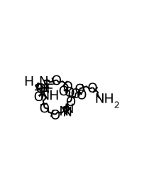 CC(C)(CCN)OCCC(C)(C)OC(=O)OCC(COC(=O)OC(C)(C)CCOC(C)(C)CCN)OCc1cn(CCOC(C)(C)CCOC(C)(C)CCNC(=O)C2=C(C(F)(F)F)C3C=CC2O3)nn1